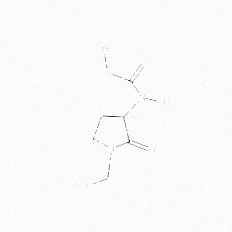 CN(C(=O)OC(C)(C)C)C1CCN(CC(=O)O)C1=O